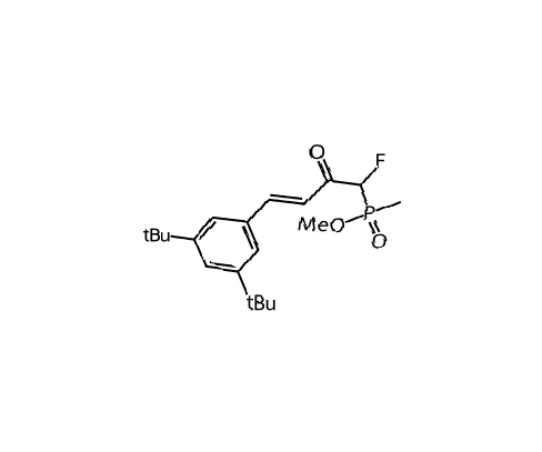 COP(C)(=O)C(F)C(=O)C=Cc1cc(C(C)(C)C)cc(C(C)(C)C)c1